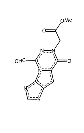 COC(=O)Cn1nc(C=O)n2c(cc3scnc32)c1=O